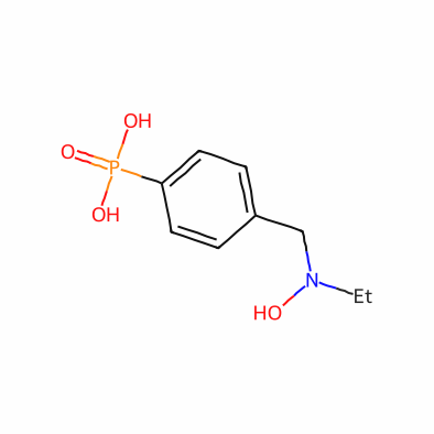 CCN(O)Cc1ccc(P(=O)(O)O)cc1